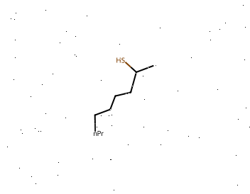 [CH2]C(S)CCCCCCC